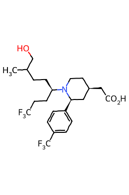 CC(CO)CC[C@H](CCC(F)(F)F)N1CC[C@@H](CC(=O)O)C[C@H]1c1ccc(C(F)(F)F)cc1